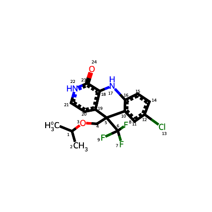 CC(C)OCC1(C(F)(F)F)c2cc(Cl)ccc2Nc2c1cc[nH]c2=O